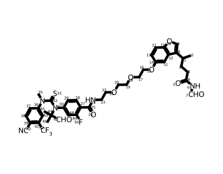 CC(CCC(=O)NC=O)c1coc2ccc(OCCOCCOCCNC(=O)c3ccc(N(C(=S)N(C)c4ccc(C#N)c(C(F)(F)F)c4)C(C)(C)C=O)cc3F)cc12